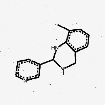 [CH2]c1cccc2c1NC(c1cccnc1)NC2